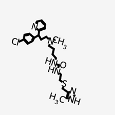 Cc1[nH]cnc1CSCCNC(=O)NCCCCN(C)CCC(c1ccc(Cl)cc1)c1ccccn1